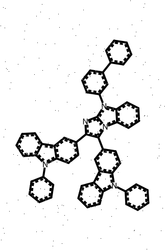 c1ccc(-c2cccc(-n3c4ccccc4n4c(-c5ccc6c(c5)c5ccccc5n6-c5ccccc5)c(-c5ccc6c(c5)c5ccccc5n6-c5ccccc5)nc34)c2)cc1